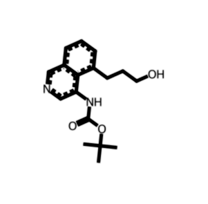 CC(C)(C)OC(=O)Nc1cncc2cccc(CCCO)c12